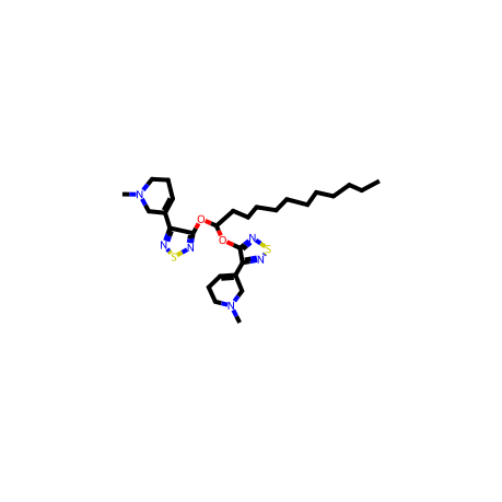 CCCCCCCCCCCC(Oc1nsnc1C1=CCCN(C)C1)Oc1nsnc1C1=CCCN(C)C1